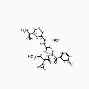 Cl.N=C(N)N1CCC[C@@H](CNC(=O)C[C@H](NC(=O)c2cc(Cl)ccn2)C(=O)N(CC(=O)O)C2CC2)C1